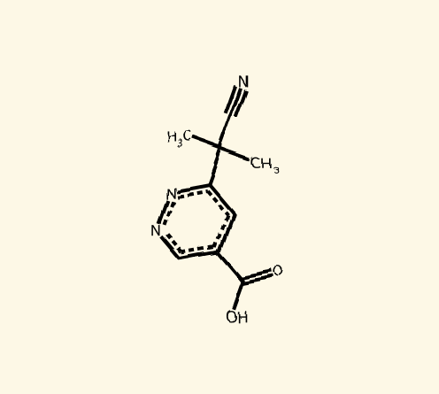 CC(C)(C#N)c1cc(C(=O)O)cnn1